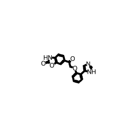 O=C(COc1ccccc1-c1cnc[nH]1)c1ccc2[nH]c(=O)oc2c1